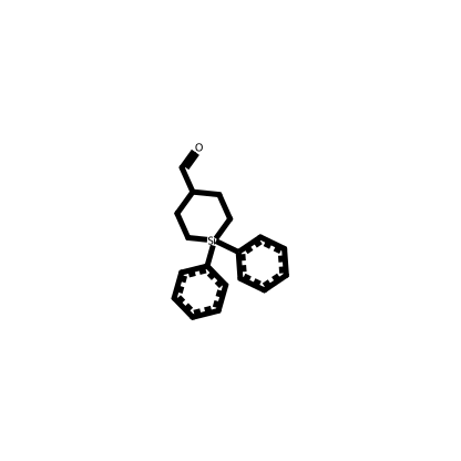 O=CC1CC[Si](c2ccccc2)(c2ccccc2)CC1